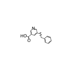 O=C(O)c1cncc(SCc2ccccc2)c1